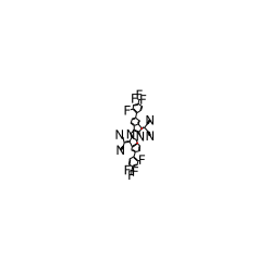 N#CC(C#N)=C1c2cc(-c3ccc(C(F)(F)F)cc3F)ccc2-c2nc3c(nc21)-c1ccc(-c2ccc(C(F)(F)F)cc2F)cc1C3=C(C#N)C#N